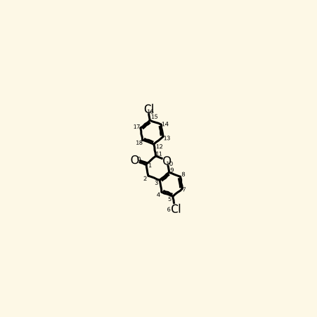 O=C1Cc2cc(Cl)ccc2OC1c1ccc(Cl)cc1